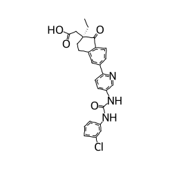 CC[C@@]1(CC(=O)O)CCc2cc(-c3ccc(NC(=O)Nc4cccc(Cl)c4)cn3)ccc2C1=O